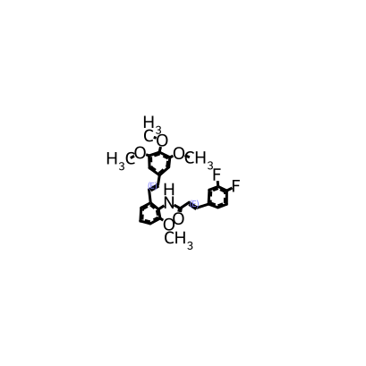 COc1cccc(/C=C/c2cc(OC)c(OC)c(OC)c2)c1NC(=O)/C=C/c1ccc(F)c(F)c1